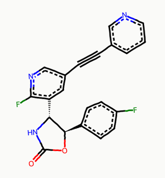 O=C1N[C@H](c2cc(C#Cc3cccnc3)cnc2F)[C@@H](c2ccc(F)cc2)O1